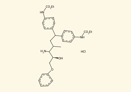 CCOC(=O)Nc1ccc(C(CC(C)C(N)[C@@H](O)COc2ccccc2)c2ccc(NC(=O)OCC)cc2)cc1.Cl